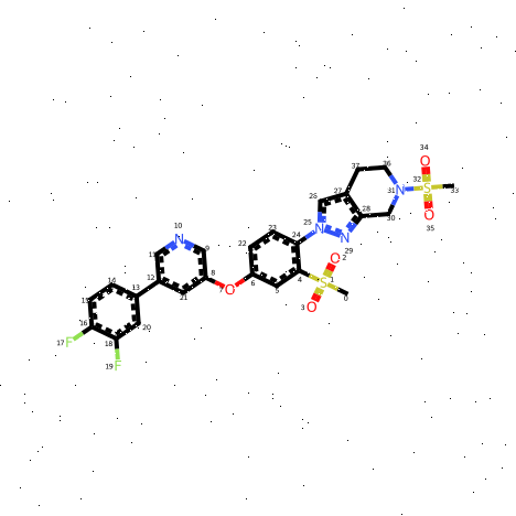 CS(=O)(=O)c1cc(Oc2cncc(-c3ccc(F)c(F)c3)c2)ccc1-n1cc2c(n1)CN(S(C)(=O)=O)CC2